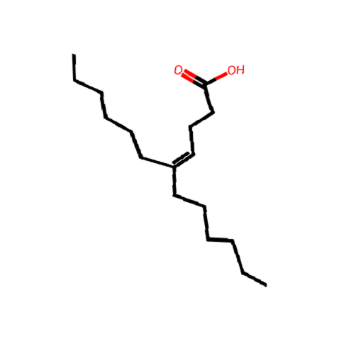 CCCCCCC(=CCCC(=O)O)CCCCCC